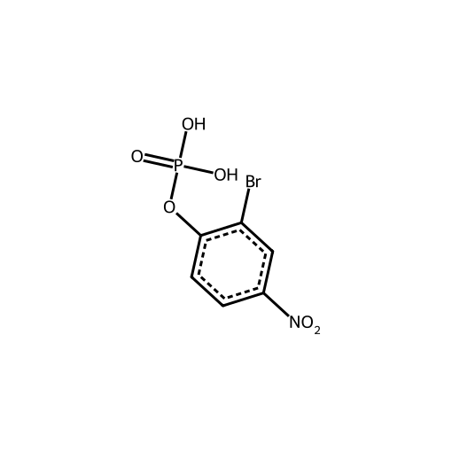 O=[N+]([O-])c1ccc(OP(=O)(O)O)c(Br)c1